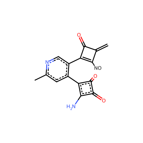 C=C1C(=O)C(c2cnc(C)cc2-c2c(N)c(=O)c2=O)=C1N=O